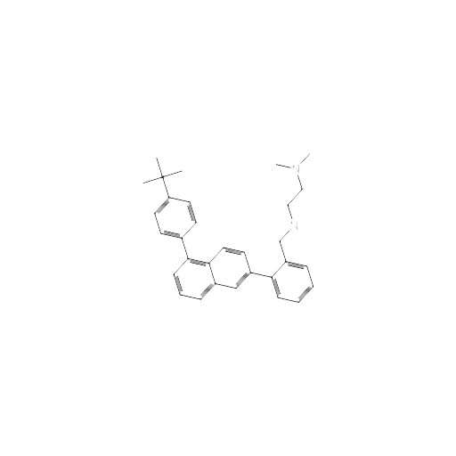 CN(C)CCNCc1ccccc1-c1ccc2c(-c3ccc(C(C)(C)C)cc3)cccc2c1